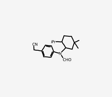 CC(C)C1CCC(C)(C)CC1N(C=O)c1ccc(CC#N)cc1